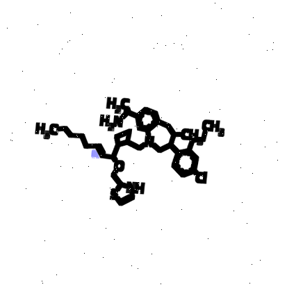 C=C(N)c1ccc2c(c1)N(CC1CCC1C(/C=C/CCCCC)OCC1NC=CS1)CC(c1ccc(Cl)cc1CCC)C(C)C2